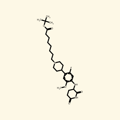 COc1cc(C2CCN(CCCCCCCC(=O)OC(C)(C)C)CC2)c(F)cc1NC1CCC(=O)NC1=O